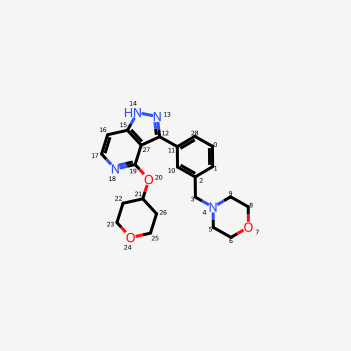 c1cc(CN2CCOCC2)cc(-c2n[nH]c3ccnc(OC4CCOCC4)c23)c1